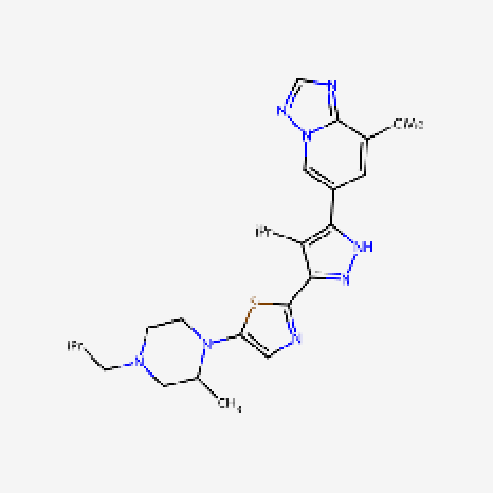 COc1cc(-c2[nH]nc(-c3ncc(N4CCN(CC(C)C)CC4C)s3)c2C(C)C)cn2ncnc12